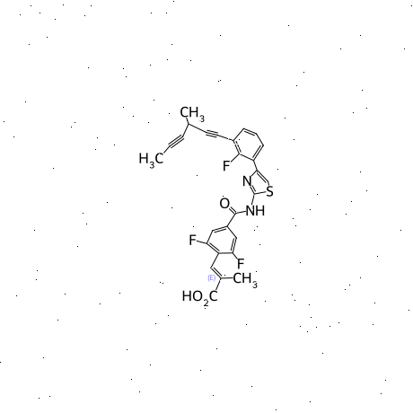 CC#CC(C)C#Cc1cccc(-c2csc(NC(=O)c3cc(F)c(/C=C(\C)C(=O)O)c(F)c3)n2)c1F